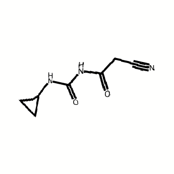 N#CCC(=O)NC(=O)NC1CC1